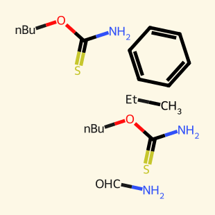 CCC.CCCCOC(N)=S.CCCCOC(N)=S.NC=O.c1ccccc1